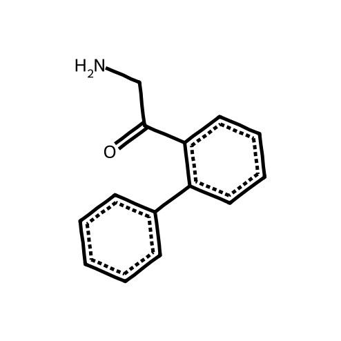 NCC(=O)c1ccccc1-c1ccccc1